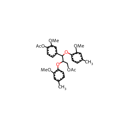 COc1cc(C(Oc2ccc(C)cc2OC)C(COC(C)=O)Oc2ccc(C)cc2OC)ccc1OC(C)=O